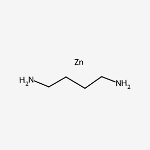 NCCCCN.[Zn]